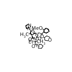 CCC(C)(C(=O)N1CCCC1)n1c(=O)c2c(C)c(-n3cccn3)sc2n(C[C@H](OC2CCOCC2)c2ccccc2OC)c1=O